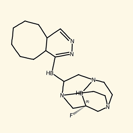 F[C@@]12BN3CCN(CCN(C1)C(BC1=NN=CC4CCCCCCC14)C3)C2